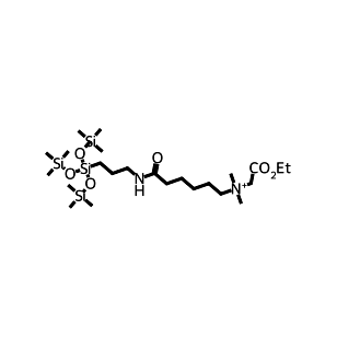 CCOC(=O)C[N+](C)(C)CCCCCC(=O)NCCC[Si](O[Si](C)(C)C)(O[Si](C)(C)C)O[Si](C)(C)C